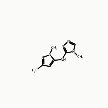 Cn1cnnc1Nc1cc(C(F)(F)F)nn1C